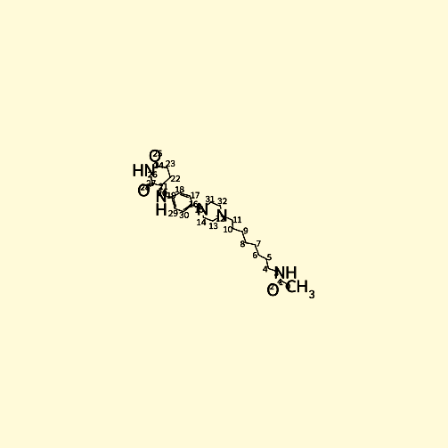 CC(=O)NCCCCCCCCN1CCN(c2ccc(NC3CCC(=O)NC3=O)cc2)CC1